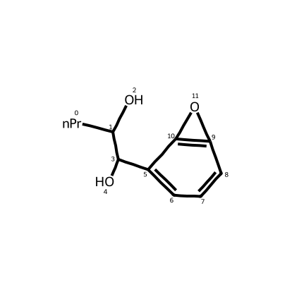 CCCC(O)C(O)c1cccc2c1O2